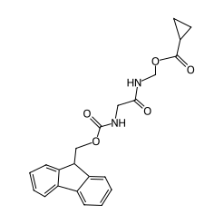 O=C(CNC(=O)OCC1c2ccccc2-c2ccccc21)NCOC(=O)C1CC1